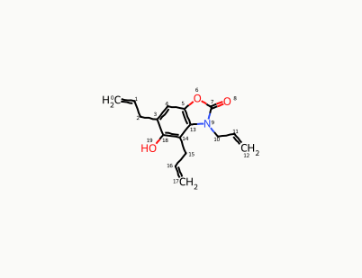 C=CCc1cc2oc(=O)n(CC=C)c2c(CC=C)c1O